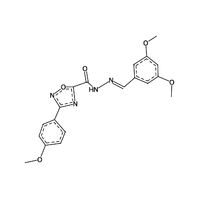 COc1ccc(-c2noc(C(=O)N/N=C/c3cc(OC)cc(OC)c3)n2)cc1